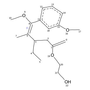 C=C(CC(CC)/C(C)=C(/OC)c1cccc(OC)c1)OCCO